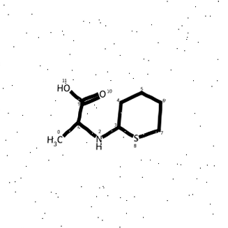 CC(NC1CCCCS1)C(=O)O